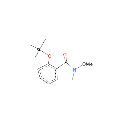 CON(C)C(=O)c1ccccc1O[Si](C)(C)C